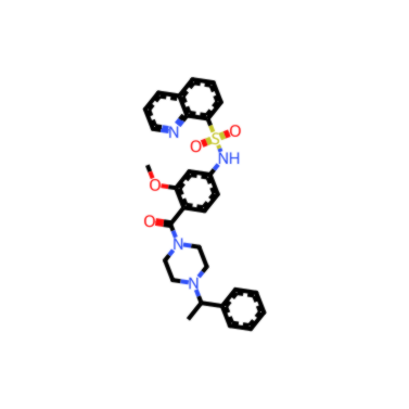 COc1cc(NS(=O)(=O)c2cccc3cccnc23)ccc1C(=O)N1CCN(C(C)c2ccccc2)CC1